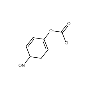 O=NC1C=CC(OC(=O)Cl)=CC1